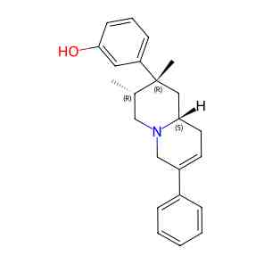 C[C@H]1CN2CC(c3ccccc3)=CC[C@H]2C[C@@]1(C)c1cccc(O)c1